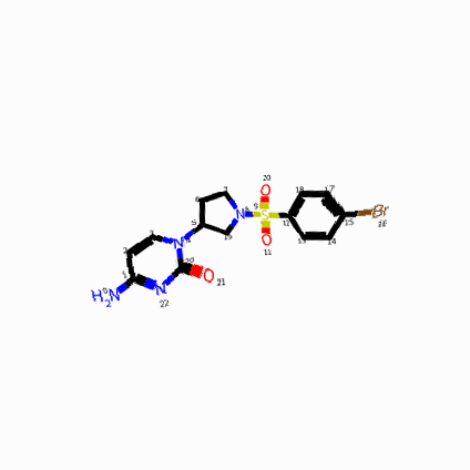 Nc1ccn(C2CCN(S(=O)(=O)c3ccc(Br)cc3)C2)c(=O)n1